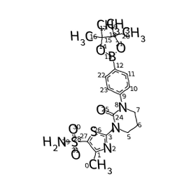 Cc1nc(N2CCCN(c3ccc(B4OC(C)(C)C(C)(C)O4)cc3)C2=O)sc1S(N)(=O)=O